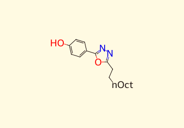 CCCCCCCCCCc1nnc(-c2ccc(O)cc2)o1